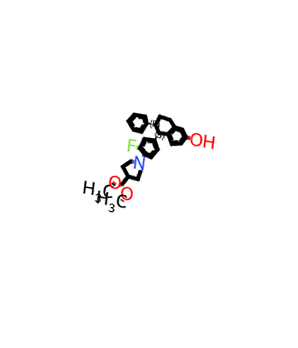 COC(OC)C1CCN(c2ccc([C@H]3c4ccc(O)cc4CC[C@H]3c3ccccc3)cc2F)CC1